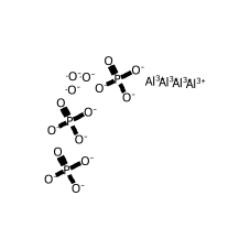 O=P([O-])([O-])[O-].O=P([O-])([O-])[O-].O=P([O-])([O-])[O-].[Al+3].[Al+3].[Al+3].[Al+3].[O-].[O-].[O-]